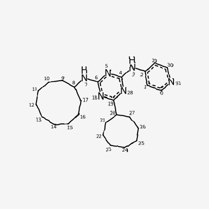 c1cc(Nc2nc(NC3CCCCCCCCC3)nc(C3CCCCCCC3)n2)ccn1